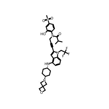 CC(C)C(=O)N(CC#Cc1cc2c(N[C@H]3CC[C@H](N4CC5(COC5)C4)CC3)cccc2n1CC(F)(F)F)c1ccc(S(C)(=O)=O)cc1O